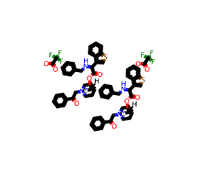 O=C(C[N+]12CCC(CC1)[C@@H](OC(=O)C(NCc1ccccc1)c1csc3ccccc13)C2)c1ccccc1.O=C(C[N+]12CCC(CC1)[C@@H](OC(=O)C(NCc1ccccc1)c1csc3ccccc13)C2)c1ccccc1.O=C([O-])C(F)(F)F.O=C([O-])C(F)(F)F